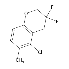 Cc1ccc2c(c1Cl)CC(F)(F)CO2